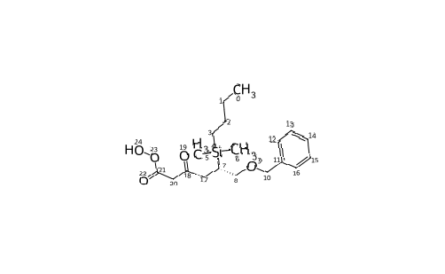 CCCC[Si](C)(C)[C@H](COCc1ccccc1)CC(=O)CC(=O)OO